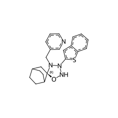 c1cncc(CN2N(c3cc4ccccc4s3)NO[C@@]23CC2CCC3CC2)c1